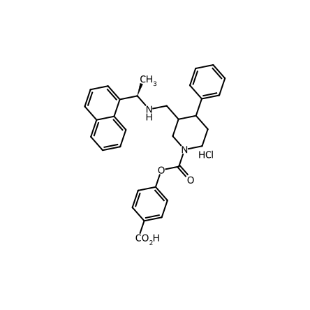 C[C@@H](NCC1CN(C(=O)Oc2ccc(C(=O)O)cc2)CCC1c1ccccc1)c1cccc2ccccc12.Cl